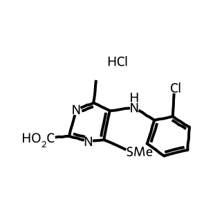 CSc1nc(C(=O)O)nc(C)c1Nc1ccccc1Cl.Cl